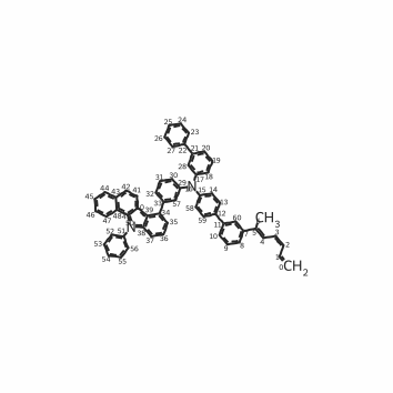 C=C/C=C\C=C(/C)c1cccc(-c2ccc(N(c3cccc(-c4ccccc4)c3)c3cccc(-c4cccc5c4c4ccc6ccccc6c4n5-c4ccccc4)c3)cc2)c1